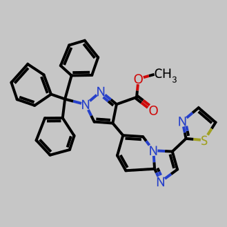 COC(=O)c1nn(C(c2ccccc2)(c2ccccc2)c2ccccc2)cc1-c1ccc2ncc(-c3nccs3)n2c1